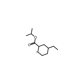 CCC1CC[N]C(C(=O)OC(C)C)C1